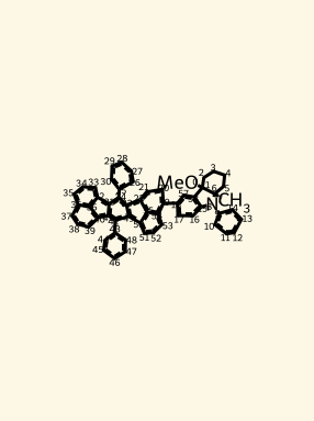 COC12CCCCC1(C)N(c1ccccc1)c1ccc(-c3ccc4c5c(-c6ccccc6)c6c7cccc8cccc(c6c(-c6ccccc6)c5c5cccc3c54)c87)cc12